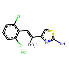 CCOC(=O)C(=Cc1c(Cl)cccc1Cl)c1csc(N)n1.Cl